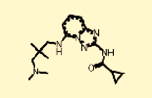 CN(C)CC(C)(C)CNc1cccc2nc(NC(=O)C3CC3)nn12